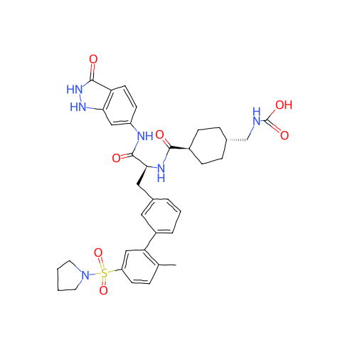 Cc1ccc(S(=O)(=O)N2CCCC2)cc1-c1cccc(C[C@H](NC(=O)[C@H]2CC[C@H](CNC(=O)O)CC2)C(=O)Nc2ccc3c(=O)[nH][nH]c3c2)c1